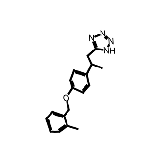 Cc1ccccc1COc1ccc(C(C)Cc2nnn[nH]2)cc1